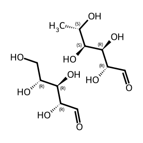 C[C@H](O)[C@H](O)[C@@H](O)[C@@H](O)C=O.O=C[C@H](O)[C@H](O)[C@H](O)CO